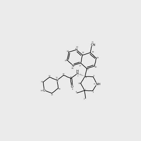 CC1(C)CNC[C@](NC(=O)CN2CCOCC2)(c2ccc(C#N)c3nccnc23)C1